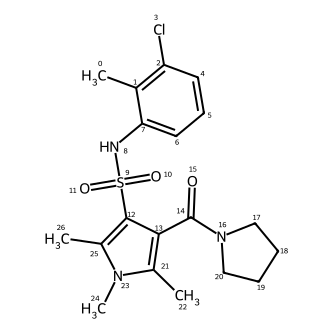 Cc1c(Cl)cccc1NS(=O)(=O)c1c(C(=O)N2CCCC2)c(C)n(C)c1C